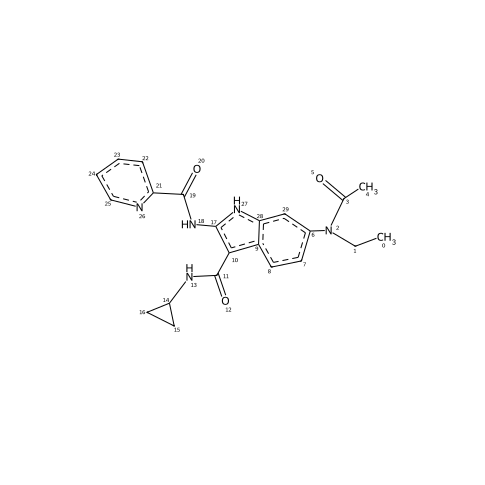 CCN(C(C)=O)c1ccc2c(C(=O)NC3CC3)c(NC(=O)c3ccccn3)[nH]c2c1